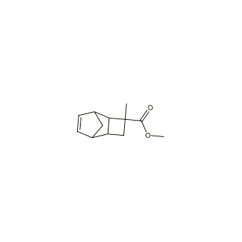 COC(=O)C1(C)CC2C3C=CC(C3)C21